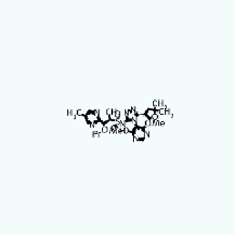 COc1ncnc(OC)c1-n1c(NS(=O)(=O)C(C)C(OC(C)C)c2ncc(C)cn2)nnc1[C@@H]1COC(C)(C)C1